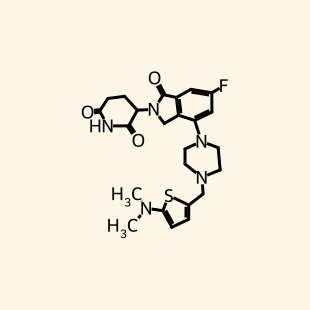 CN(C)c1ccc(CN2CCN(c3cc(F)cc4c3CN(C3CCC(=O)NC3=O)C4=O)CC2)s1